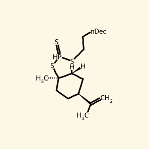 C=C(C)[C@H]1CC[C@@]2(C)S[PH](=S)[SH](CCCCCCCCCCCC)[C@@H]2C1